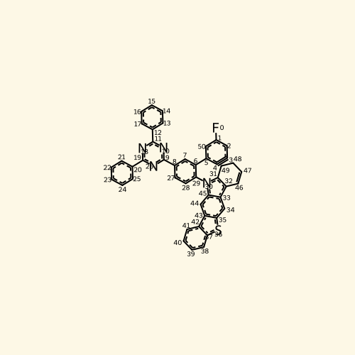 Fc1cc#cc(-c2cc(-c3nc(-c4ccccc4)nc(-c4ccccc4)n3)ccc2-n2c3c(c4cc5sc6ccccc6c5cc42)C=CCC3)c1